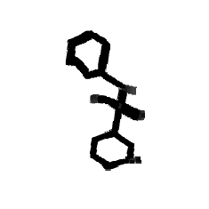 O=S(=O)(Nc1ccccc1)C1CCCNC1